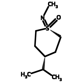 CN=[S@]1(=O)CC[C@H](C(C)C)CC1